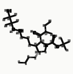 CCCC[C@H]1CN(C(=O)OC(C)(C)C)C(C(=O)C(C)CC)C1CCCBOC(C)(C)C(C)(C)S